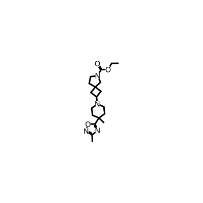 CCOC(=O)N1CCC2(CC(N3CCC(C)(c4nc(C)no4)CC3)C2)C1